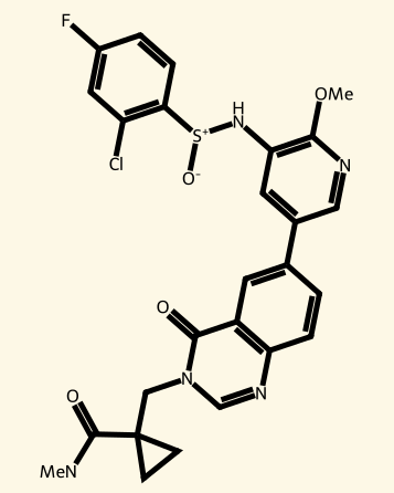 CNC(=O)C1(Cn2cnc3ccc(-c4cnc(OC)c(N[S+]([O-])c5ccc(F)cc5Cl)c4)cc3c2=O)CC1